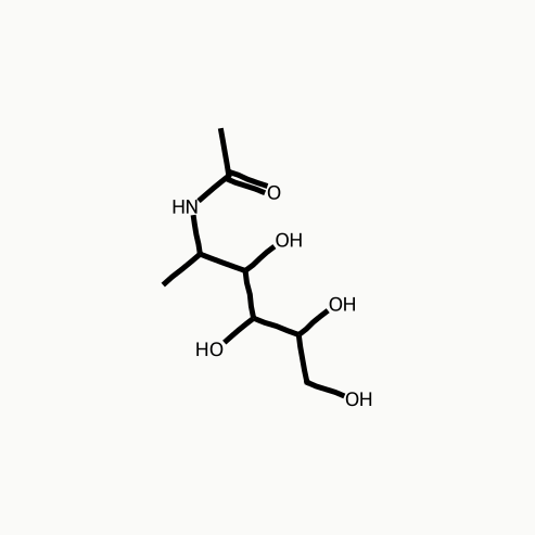 CC(=O)NC(C)C(O)C(O)C(O)CO